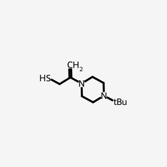 C=C(CS)N1CCN(C(C)(C)C)CC1